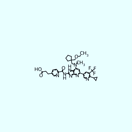 CCOCC1(CN(C)c2cc(-c3cnc(C4CC4)c(C(F)(F)F)c3)nc3nc(NC(=O)c4ccc(CCC(=O)O)cn4)[nH]c23)CCCC1